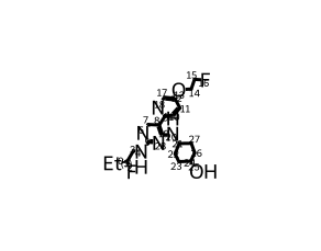 CC[C@H](F)CNc1ncc(-c2ccc(OCCF)cn2)c(N[C@H]2CC[C@H](O)CC2)n1